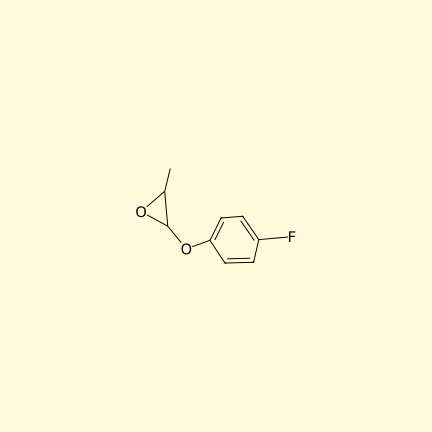 CC1OC1Oc1ccc(F)cc1